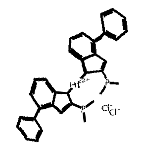 CP(C)C1=Cc2c(-c3ccccc3)cccc2[CH]1[Hf+2][CH]1C(P(C)C)=Cc2c(-c3ccccc3)cccc21.[Cl-].[Cl-]